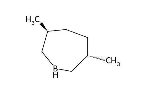 C[C@@H]1CBC[C@@H](C)CC1